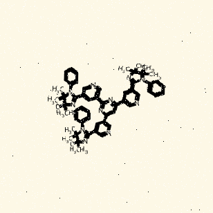 CC1(C)N=C(c2cncc(-c3cc(-c4cncc(C5=NC(C)(C)C(C)(C)N5c5ccccc5)c4)nc(-c4cncc(C5=NC(C)(C)C(C)(C)N5c5ccccc5)c4)n3)c2)N(c2ccccc2)C1(C)C